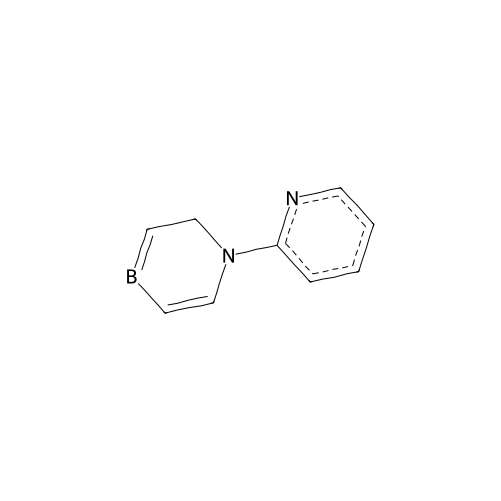 B1=CCN(c2ccccn2)C=C1